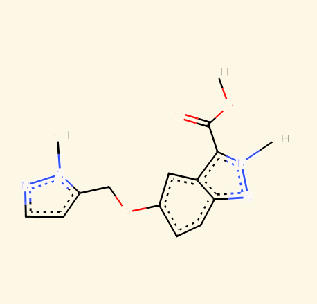 COC(=O)c1c2cc(OCc3ccnn3C)ccc2nn1C